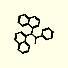 CC([C](c1cccc2ccccc12)c1cccc2ccccc12)c1ccccc1